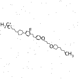 [CH2+][CH-]CCCCC1CCC(c2ccc(CCc3ccc(OCCCCOC4CCC(CCCCC)CC4)cc3)c(F)c2)CC1